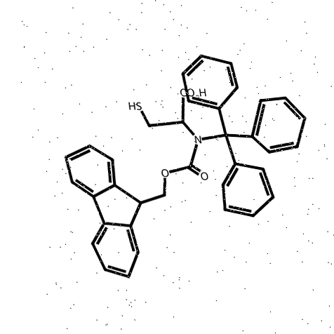 O=C(O)C(CS)N(C(=O)OCC1c2ccccc2-c2ccccc21)C(c1ccccc1)(c1ccccc1)c1ccccc1